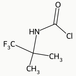 CC(C)(NC(=O)Cl)C(F)(F)F